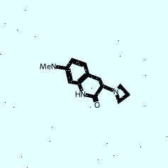 CNc1ccc2c(c1)NC(=O)C(N1CCC1)C2